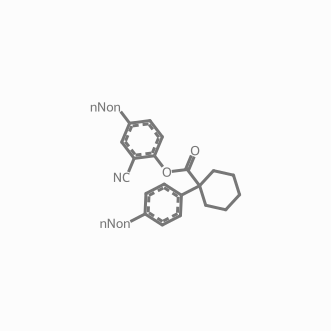 CCCCCCCCCc1ccc(C2(C(=O)Oc3ccc(CCCCCCCCC)cc3C#N)CCCCC2)cc1